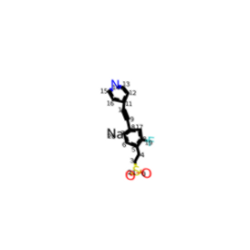 O=S([O-])CCc1ccc(C#Cc2ccncc2)cc1F.[Na+]